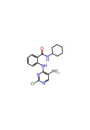 O=C(NC1CCCCC1)c1ccccc1Nc1nc(Cl)ncc1[N+](=O)[O-]